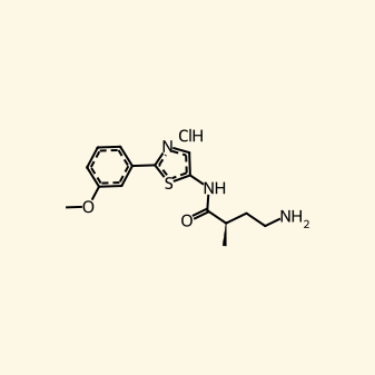 COc1cccc(-c2ncc(NC(=O)[C@H](C)CCN)s2)c1.Cl